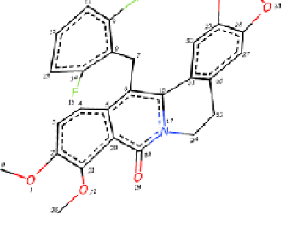 COc1ccc2c(Cc3c(F)cccc3F)c3n(c(=O)c2c1OC)CCc1cc2c(cc1-3)OCO2